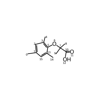 Cc1cc(C)c(OC(C)(C)C(=O)O)c(C)c1